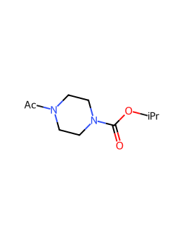 CC(=O)N1CCN(C(=O)OC(C)C)CC1